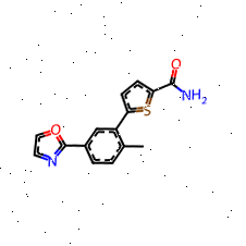 Cc1ccc(-c2ncco2)cc1-c1ccc(C(N)=O)s1